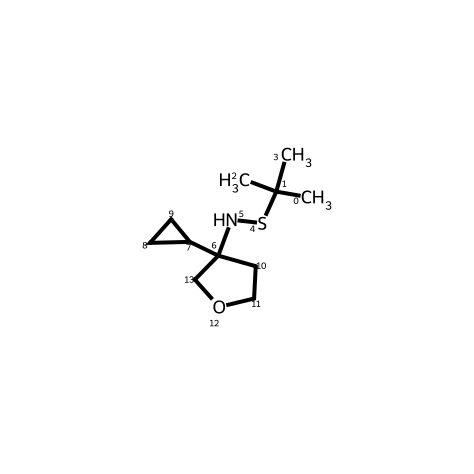 CC(C)(C)SNC1(C2CC2)CCOC1